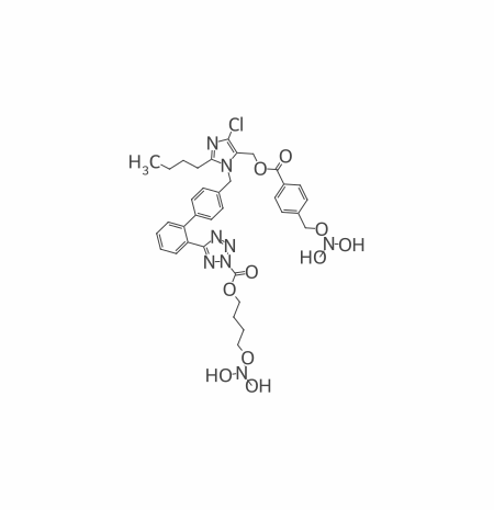 CCCCc1nc(Cl)c(COC(=O)c2ccc(CON(O)O)cc2)n1Cc1ccc(-c2ccccc2-c2nnn(C(=O)OCCCCON(O)O)n2)cc1